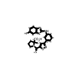 O=C(O)C1(I)CCCN1C(=S)c1cc(-c2cccc(Nc3nc4ccc(F)cc4s3)c2)no1